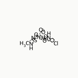 CC1Cc2nc(C(=O)N3CCN(S(=O)(=O)c4cc5cc(Cl)ccc5[nH]4)CC3CC3OCCO3)sc2CN1